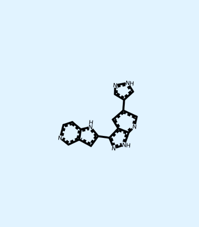 c1cc2[nH]c(-c3n[nH]c4ncc(-c5cn[nH]c5)cc34)cc2cn1